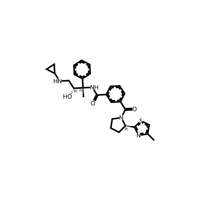 Cc1csc([C@H]2CCCN2C(=O)c2cccc(C(=O)N[C@@](C)(c3ccccc3)[C@H](O)CNC3CC3)c2)n1